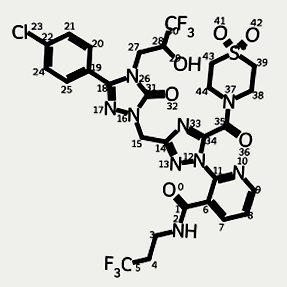 O=C(NCCC(F)(F)F)c1cccnc1-n1nc(Cn2nc(-c3ccc(Cl)cc3)n(CC(O)C(F)(F)F)c2=O)nc1C(=O)N1CCS(=O)(=O)CC1